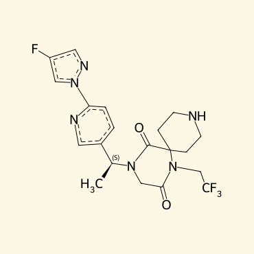 C[C@@H](c1ccc(-n2cc(F)cn2)nc1)N1CC(=O)N(CC(F)(F)F)C2(CCNCC2)C1=O